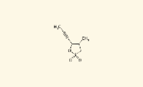 CC#CC1OS(=O)(=O)CC1C